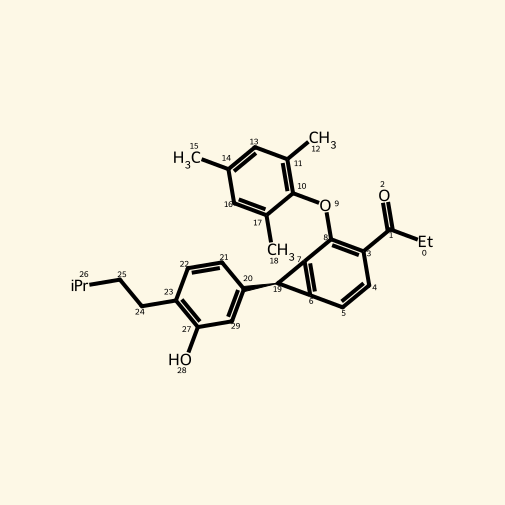 CCC(=O)c1ccc2c(c1Oc1c(C)cc(C)cc1C)[C@@H]2c1ccc(CCC(C)C)c(O)c1